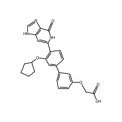 O=C(O)COc1cccc(-c2ccc(-c3nc4[nH]cnc4c(=O)[nH]3)c(OC3CCCC3)c2)c1